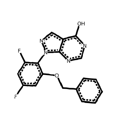 Oc1ncnc2c1cnn2-c1c(F)cc(F)cc1OCc1ccccc1